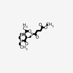 CCN(CC)C(=O)[C@H](CSC(=O)CCC(=O)OC)NC(C)=O